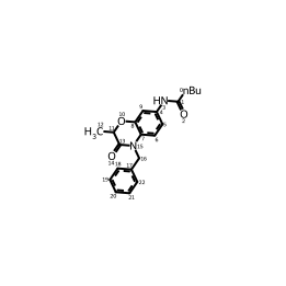 CCCCC(=O)Nc1ccc2c(c1)OC(C)C(=O)N2Cc1ccccc1